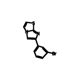 Brc1cccc(-c2cn3ccsc3n2)c1